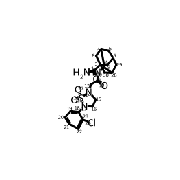 NC(=O)C12CC3CC(C1)C(NC(=O)CN1CCN(c4ccccc4Cl)S1(=O)=O)C(C3)C2